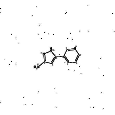 O=[N+]([O-])c1cc(-c2cccnc2)[nH]n1